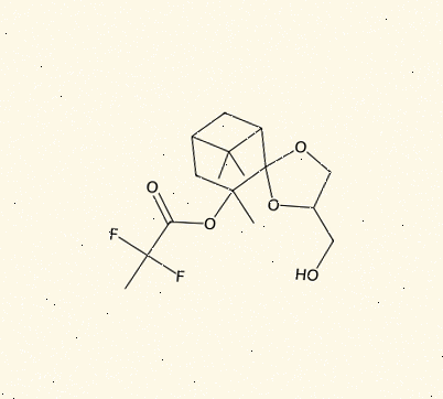 CC(F)(F)C(=O)OC1(C)CC2CC(C2(C)C)C12OCC(CO)O2